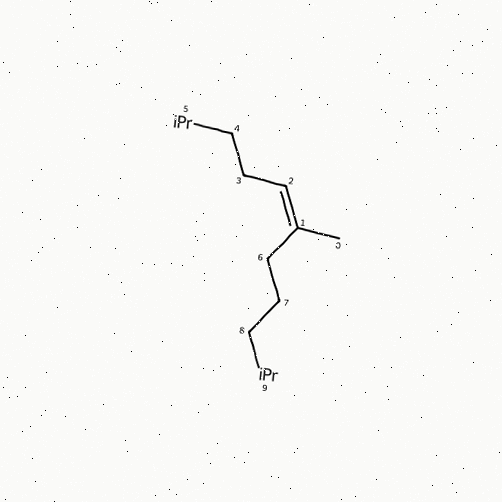 CC(=CCCC(C)C)CCCC(C)C